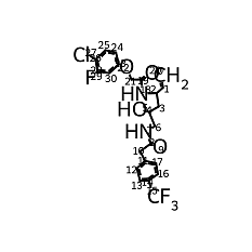 C=CC(CC(O)CNC(=O)Cc1ccc(C(F)(F)F)cc1)NC(=O)COc1ccc(Cl)c(F)c1